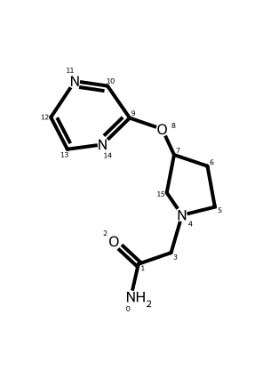 NC(=O)CN1CCC(Oc2cnccn2)C1